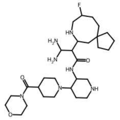 NC(N)C(C(=O)NC1CNCCC1N1CCC(C(=O)N2CCOCC2)CC1)C1CC2(CCCC2)CCC(F)CN1